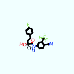 C[C@](O)(CCc1ccc(F)cc1)C(=O)Nc1ccc(C#N)c(C(F)(F)F)c1